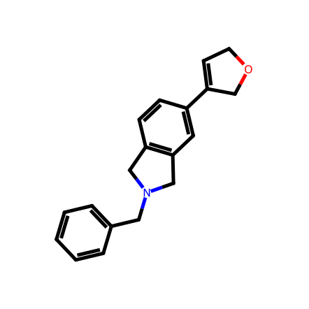 C1=C(c2ccc3c(c2)CN(Cc2ccccc2)C3)COC1